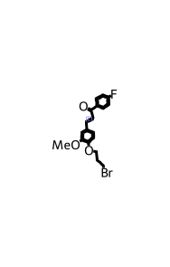 COc1cc(/C=C/C(=O)c2ccc(F)cc2)ccc1OCCCBr